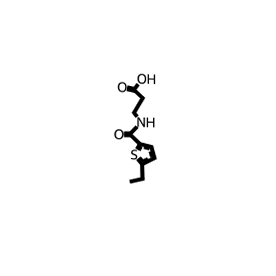 CCc1ccc(C(=O)NCCC(=O)O)s1